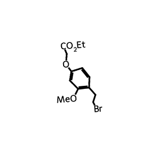 CCOC(=O)COc1ccc(CCBr)c(OC)c1